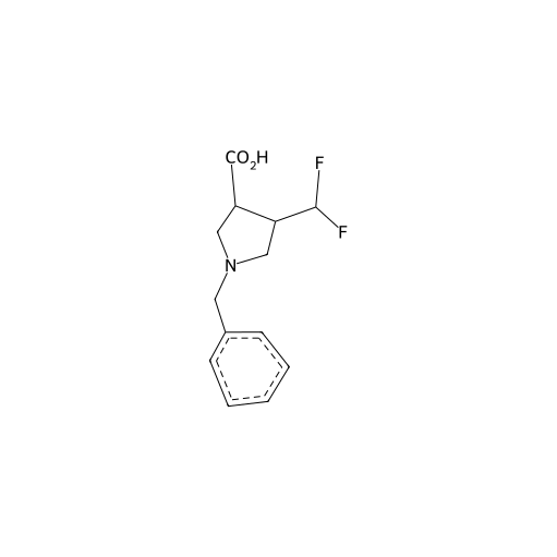 O=C(O)C1CN(Cc2ccccc2)CC1C(F)F